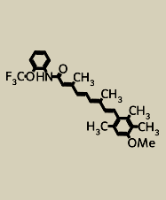 COc1cc(C)c(/C=C/C(C)=C/C=C/C(C)=C/C(=O)Nc2ccccc2OC(F)(F)F)c(C)c1C